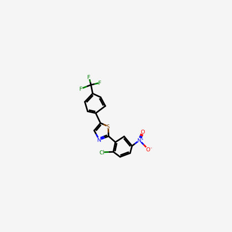 O=[N+]([O-])c1ccc(Cl)c(-c2ncc(-c3ccc(C(F)(F)F)cc3)s2)c1